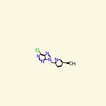 C#Cc1ccc(Cn2cnc3c(Cl)ncnc32)nc1